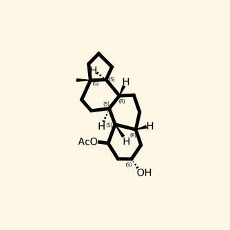 CC(=O)OC1C[C@@H](O)C[C@H]2CC[C@@H]3[C@H](CC[C@]4(C)CCC[C@@H]34)[C@@H]12